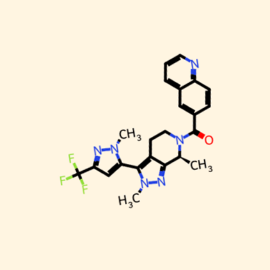 C[C@H]1c2nn(C)c(-c3cc(C(F)(F)F)nn3C)c2CCN1C(=O)c1ccc2ncccc2c1